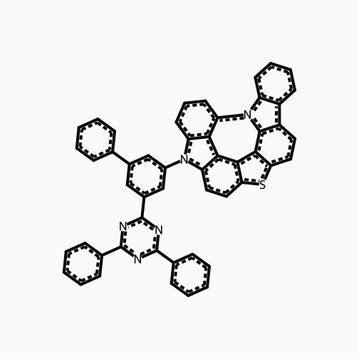 c1ccc(-c2cc(-c3nc(-c4ccccc4)nc(-c4ccccc4)n3)cc(-n3c4ccc5sc6ccc7c8ccccc8n8c9cccc3c9c4c5c6c78)c2)cc1